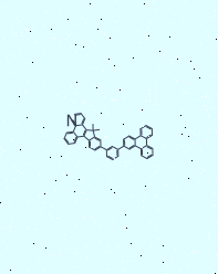 CC1(C)c2cc(-c3cccc(-c4ccc5c6ccccc6c6ccccc6c5c4)c3)ccc2-c2c1c1cccnc1c1ccccc21